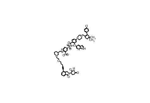 CC1(C)CCC(CN2CCN(c3ccc(C(=O)NS(=O)(=O)c4ccc(NCC5CCCN(CCOCCCC#Cc6cccc7c6CN(C6CCC(=O)NC6=O)C7=O)C5)c([N+](=O)[O-])c4)c(Oc4cnc5[nH]ccc5c4)c3)CC2)=C(c2ccc(Cl)cc2)C1